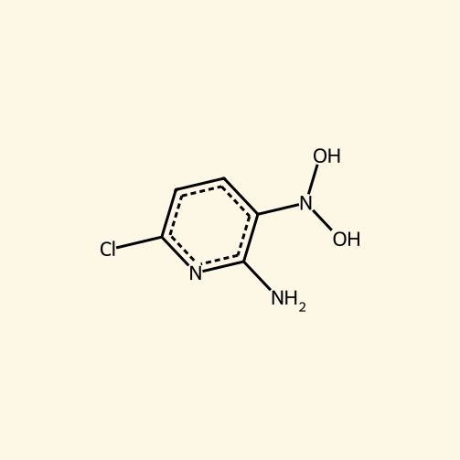 Nc1nc(Cl)ccc1N(O)O